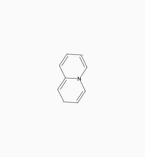 [C]1=CN2C=CCC=C2C=C1